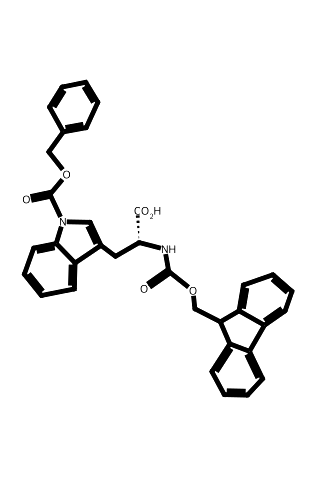 O=C(N[C@H](Cc1cn(C(=O)OCc2ccccc2)c2ccccc12)C(=O)O)OCC1c2ccccc2-c2ccccc21